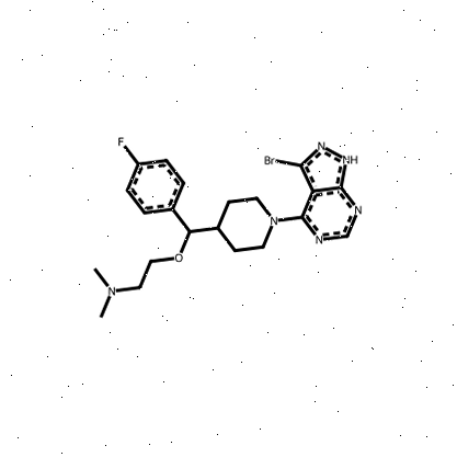 CN(C)CCOC(c1ccc(F)cc1)C1CCN(c2ncnc3[nH]nc(Br)c23)CC1